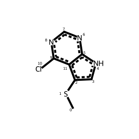 CSc1c[nH]c2ncnc(Cl)c12